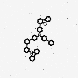 c1ccc(-c2ccc(N(c3ccc(-c4cccc(-c5cccc(-n6c7ccccc7c7ccccc76)c5)c4)cc3)c3ccc(-c4cccc5c4oc4ccccc45)cc3)cc2)cc1